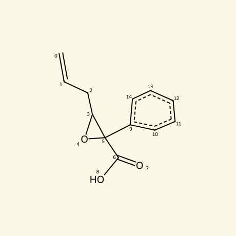 C=CCC1OC1(C(=O)O)c1ccccc1